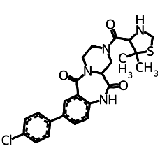 CC1(C)SCNC1C(=O)N1CCN2C(=O)c3cc(-c4ccc(Cl)cc4)ccc3NC(=O)C2C1